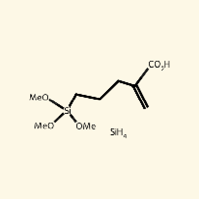 C=C(CCC[Si](OC)(OC)OC)C(=O)O.[SiH4]